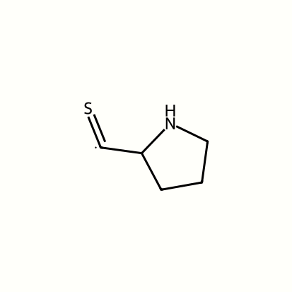 S=[C]C1CCCN1